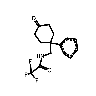 O=C1CCC(CNC(=O)C(F)(F)F)(c2ccccc2)CC1